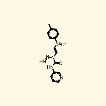 Cc1ccc([S+]([O-])/C=C/N(N=N)C(=O)Nc2cccnc2)cc1